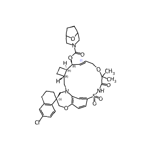 CC1(C)OC/C=C/[C@H](OC(=O)N2CC3CCC(C2)O3)[C@@H]2CC[C@H]2CN2C[C@@]3(CCCc4cc(Cl)ccc43)COc3ccc(cc32)S(=O)(=O)NC1=O